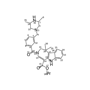 CC1CN(Cc2cccc(C(=O)N3C=C(C(=O)OC(C)C)c4[nH]c5ccccc5c4C(C)(C)C3)c2)CC(C)N1